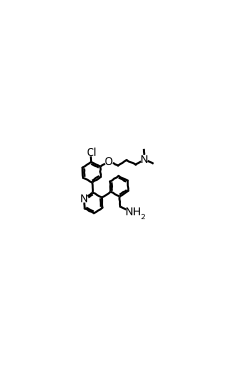 CN(C)CCCOc1cc(-c2ncccc2-c2ccccc2CN)ccc1Cl